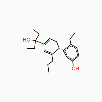 CCCC1=CC(C(O)(CC)CC)=CC[C@@H]1c1cc(O)ccc1CC